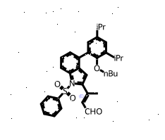 CCCCOc1c(-c2cccc3c2cc(/C(C)=C/C=O)n3S(=O)(=O)c2ccccc2)cc(C(C)C)cc1C(C)C